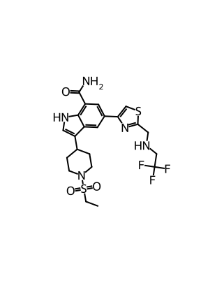 CCS(=O)(=O)N1CCC(c2c[nH]c3c(C(N)=O)cc(-c4csc(CNCC(F)(F)F)n4)cc23)CC1